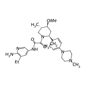 C=C(/C=C\C(=C/C)N1CCN(C)CC1)[C@@H]1C[C@H](OC)[C@@H](C)CN1C(=O)C(=O)Nc1cnc(N)c(CC)c1